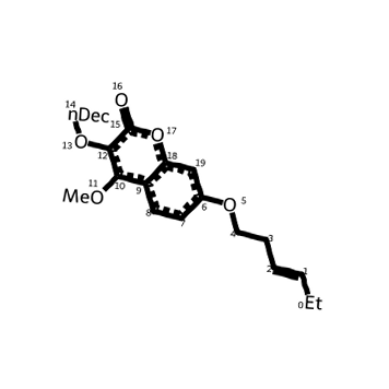 CCC=CCCOc1ccc2c(OC)c(OCCCCCCCCCC)c(=O)oc2c1